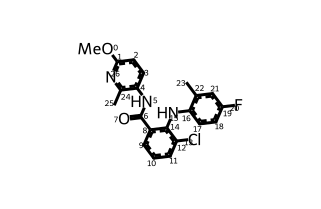 COc1ccc(NC(=O)c2cccc(Cl)c2Nc2ccc(F)cc2C)c(C)n1